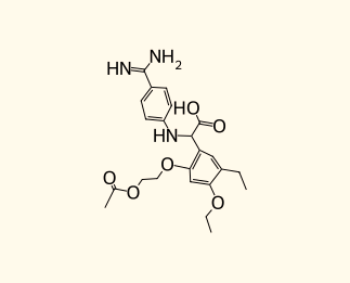 CCOc1cc(OCCOC(C)=O)c(C(Nc2ccc(C(=N)N)cc2)C(=O)O)cc1CC